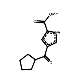 COC(=O)c1cc(C(=O)C2CCCC2)c[nH]1